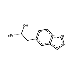 CCC[C@H](O)Cc1ccc2[nH]ncc2c1